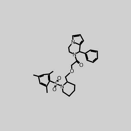 Cc1cc(C)c(S(=O)(=O)N2CCCCC2COCC(=O)N2CCn3cccc3C2c2ccccc2)c(C)c1